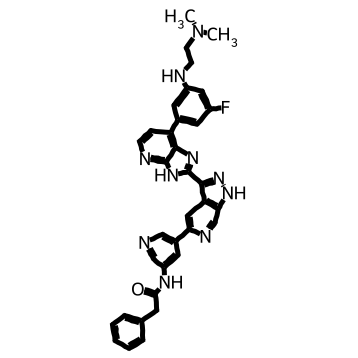 CN(C)CCNc1cc(F)cc(-c2ccnc3[nH]c(-c4n[nH]c5cnc(-c6cncc(NC(=O)Cc7ccccc7)c6)cc45)nc23)c1